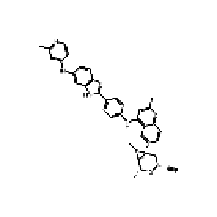 C#C[C@H]1C[C@@]2(c3ccc4nc(C)cc(Nc5ccc(-c6nc7ccc(Nc8ccnc(C)c8)cc7[nH]6)nc5)c4c3)[C@@H]([C@H]2C)[C@@H](C)O1